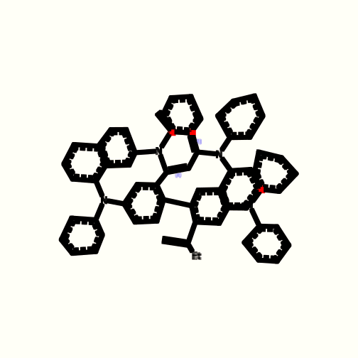 C=C/C=C(\C=C(\c1cc(N(c2ccccc2)c2ccccc2)ccc1-c1ccc(N(c2ccccc2)c2ccccc2)cc1C(=C)CC)N(c1ccccc1)c1ccccc1)N(c1ccccc1)c1ccccc1